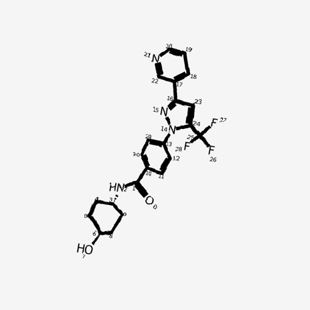 O=C(N[C@H]1CC[C@H](O)CC1)c1ccc(-n2nc(-c3cccnc3)cc2C(F)(F)F)cc1